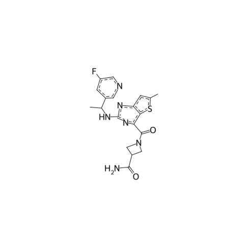 Cc1cc2nc(NC(C)c3cncc(F)c3)nc(C(=O)N3CC(C(N)=O)C3)c2s1